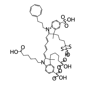 CC1(CCCC23S[SH]2(=O)S3)C(/C=C/C=C/C=C2/N(CCCCCC(=O)O)c3ccc(S(=O)(=O)O)cc3C2(C)CCCCS(=O)(=O)O)=[N+](CCCC2=C/C=C\C=C/C=C\2)c2ccc(S(=O)(=O)O)cc21